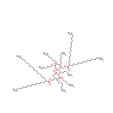 CCCCCCCCCCCCCC(CCCCCCCCCCCCC)C(=O)OCC1O[C@H](O[C@H]2OC(COC(=O)C(CCCCCCCCCCCCC)CCCCCCCCCCCCC)[C@@H](OCCCC)[C@H](OCCCC)C2OCCCC)C(OCCCC)[C@@H](OCCCC)[C@@H]1OCCCC